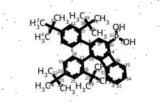 CC(C)(C)c1ccc(-c2cc(P(O)O)c3c(c2-c2ccc(C(C)(C)C)cc2C(C)(C)C)-c2ccccc2-3)c(C(C)(C)C)c1